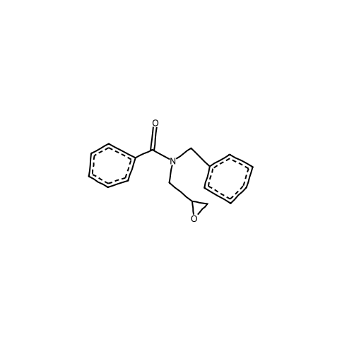 O=C(c1ccccc1)N(Cc1ccccc1)CC1CO1